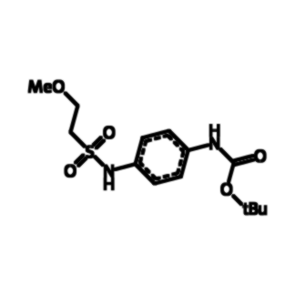 COCCS(=O)(=O)Nc1ccc(NC(=O)OC(C)(C)C)cc1